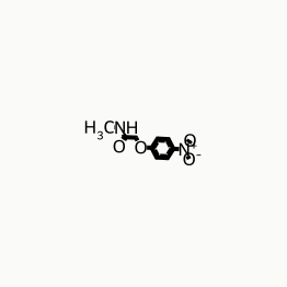 CNC(=O)COc1ccc([N+](=O)[O-])cc1